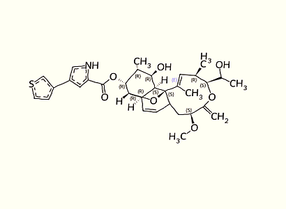 C=C1O[C@H](C(C)O)[C@H](C)/C=C(\C)[C@]23O[C@@H]4[C@H](C=CC2C[C@@H]1OC)[C@H]3[C@H](O)[C@@H](C)[C@H]4OC(=O)c1cc(-c2ccsc2)c[nH]1